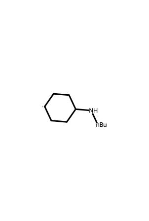 CCCCNC1CC[CH]CC1